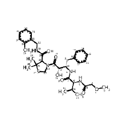 COCC(=O)N[C@H](C(=O)N[C@@H](Cc1ccccc1)[C@H](O)C(=O)N1CSC(C)(C)[C@H]1C(=O)NCc1ccccc1C)C(C)C